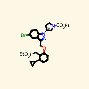 CCOC(=O)Cc1c(OCc2nn([C@H]3CCN(C(=O)OCC)C3)c3ccc(Br)cc23)cccc1C1CC1